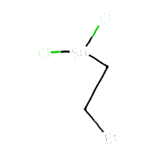 CCC[CH2][Sn]([Cl])[Cl]